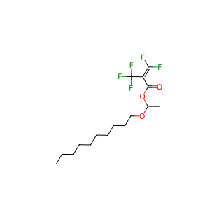 CCCCCCCCCCOC(C)OC(=O)C(=C(F)F)C(F)(F)F